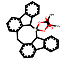 CCCC(=O)[O][Ti]1([O]C(=O)CCC)[CH]2c3ccccc3-c3cccc(c32)Cc2cccc3c2[CH]1c1ccccc1-3